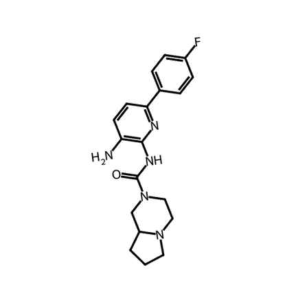 Nc1ccc(-c2ccc(F)cc2)nc1NC(=O)N1CCN2CCCC2C1